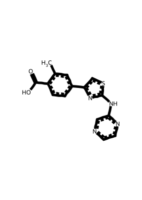 Cc1cc(-c2csc(Nc3cnccn3)n2)ccc1C(=O)O